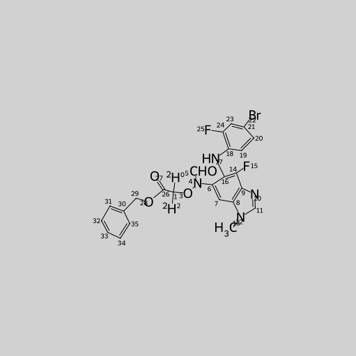 [2H]C([2H])(ON(C=O)c1cc2c(ncn2C)c(F)c1Nc1ccc(Br)cc1F)C(=O)OCc1ccccc1